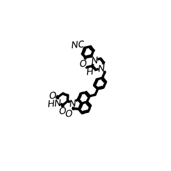 N#Cc1ccc2c(c1)OC[C@H]1CN(Cc3ccc(Cc4ccc5c6c(cccc46)C(=O)N5C4CCC(=O)NC4=O)cc3)CCN21